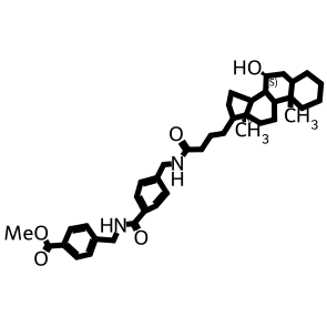 COC(=O)c1ccc(CNC(=O)c2ccc(CNC(=O)CCCC3CCC4C5C(CC[C@]34C)C3(C)CCCCC3C[C@@H]5O)cc2)cc1